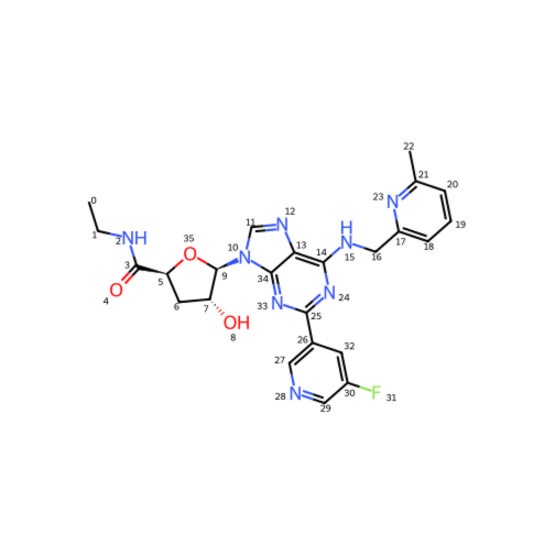 CCNC(=O)[C@@H]1C[C@@H](O)[C@H](n2cnc3c(NCc4cccc(C)n4)nc(-c4cncc(F)c4)nc32)O1